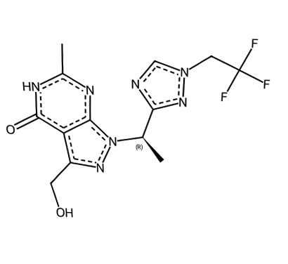 Cc1nc2c(c(CO)nn2[C@H](C)c2ncn(CC(F)(F)F)n2)c(=O)[nH]1